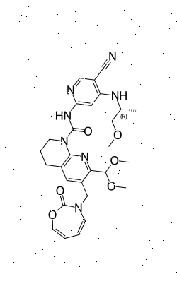 COC[C@@H](C)Nc1cc(NC(=O)N2CCCc3cc(CN4C=CC=COC4=O)c(C(OC)OC)nc32)ncc1C#N